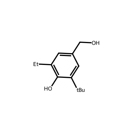 CCc1cc(CO)cc(C(C)(C)C)c1O